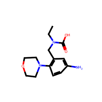 CCN(Cc1cc(N)ccc1N1CCOCC1)C(=O)O